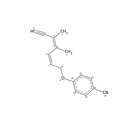 C#C/C(C)=C(C)\C=C/COc1ccc(C#N)cc1